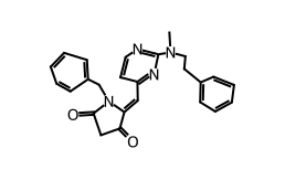 CN(CCc1ccccc1)c1nccc(/C=C2/C(=O)CC(=O)N2Cc2ccccc2)n1